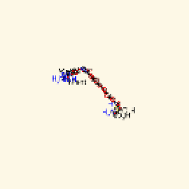 CCCCCNc1nc(N)nc2ccn(Cc3ccc(CN4CCN(C(=O)CCOCCOCCOCCOCCOCCOCCNC(=O)[C@@H](CC(=O)O)SC[C@H](N)C(=O)O)CC4)cc3OC)c12